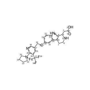 O=C(O)CC1NCCc2c1[nH]c1ccc(OCc3cnc(N4CCCC4)c(C(F)(F)F)c3)cc21